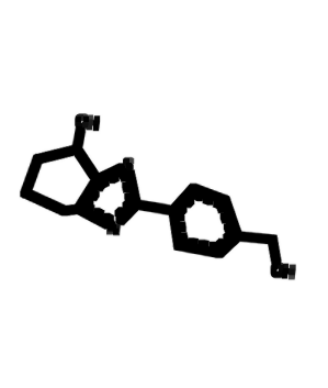 OCc1ccc(-c2nc3c(s2)C(O)CCC3)cc1